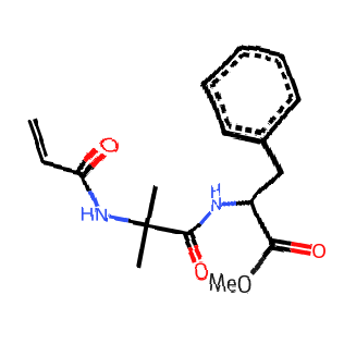 C=CC(=O)NC(C)(C)C(=O)NC(Cc1ccccc1)C(=O)OC